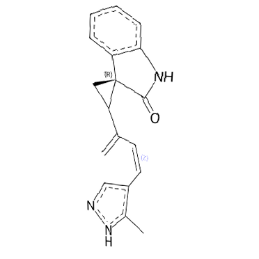 C=C(/C=C\c1cn[nH]c1C)C1C[C@@]12C(=O)Nc1ccccc12